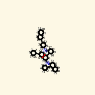 c1ccc(-c2cccc(N(c3ccc(-c4ccc5ccccc5c4)cc3)c3ccccc3-c3cccc(-n4c5ccccc5c5c6ccccc6ccc54)c3)c2)cc1